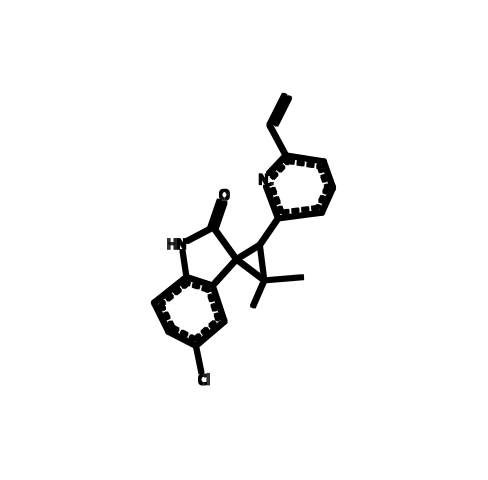 C=Cc1cccc(C2C(C)(C)C23C(=O)Nc2ccc(Cl)cc23)n1